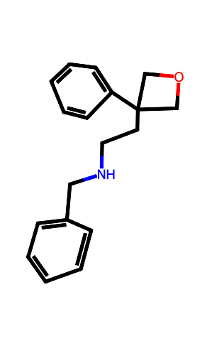 c1ccc(CNCCC2(c3ccccc3)COC2)cc1